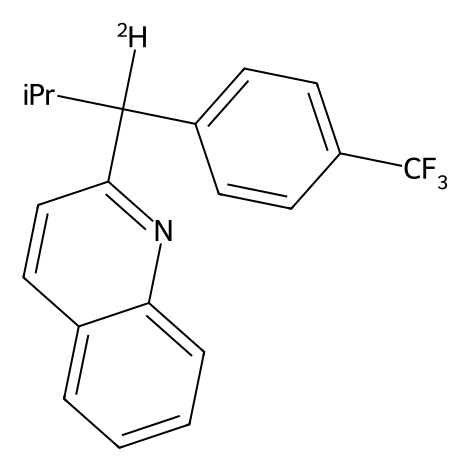 [2H]C(c1ccc(C(F)(F)F)cc1)(c1ccc2ccccc2n1)C(C)C